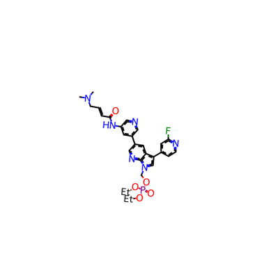 CCOP(=O)(OCC)OCn1cc(-c2ccnc(F)c2)c2cc(-c3cncc(NC(=O)C=CCN(C)C)c3)cnc21